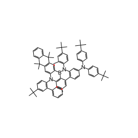 Cc1cc2c3c(c1)N(c1ccc(C(C)(C)C)cc1-c1ccccc1)c1cc4c(cc1B3N(c1ccc(C(C)(C)C)cc1C)c1cc(N(c3ccc(C(C)(C)C)cc3)c3ccc(C(C)(C)C)cc3)ccc1-2)C(C)(C)c1ccccc1C4(C)C